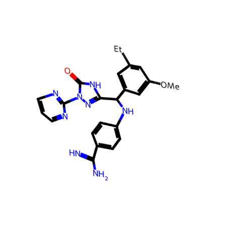 CCc1cc(OC)cc(C(Nc2ccc(C(=N)N)cc2)c2nn(-c3ncccn3)c(=O)[nH]2)c1